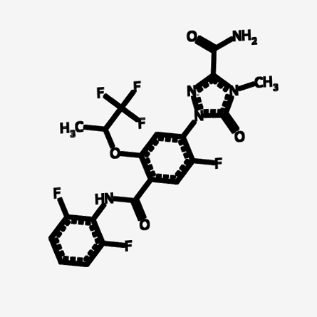 CC(Oc1cc(-n2nc(C(N)=O)n(C)c2=O)c(F)cc1C(=O)Nc1c(F)cccc1F)C(F)(F)F